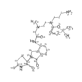 CN(CCN(CCCN)C(=O)OC(C)(C)C)CC(=O)Nc1cccc2c1CN(C1CCC(=O)NC1=O)C2=O